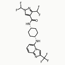 O=C(N[C@H]1CC[C@@H](Nc2cccc3nc(C(F)(F)F)cn23)CC1)c1cn(C(F)F)nc1C(F)F